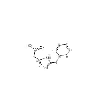 O=C(O)Cc1cnc(Cc2ccccc2)[nH]1